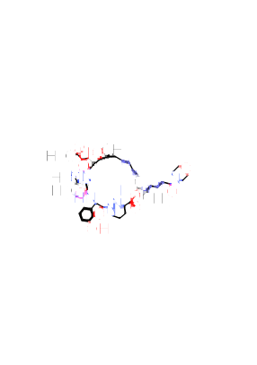 CC(=O)CC[C@H]1C(=O)N[C@@H](C(C)C)C(=O)NC(c2cccc(O)c2)C(=O)N2CCCC(N2)C(=O)O[C@H](/C(C)=C/C=C/C(=O)N2CCOCC2)C/C=C/C=C/C[C@H](C)[C@H]1O